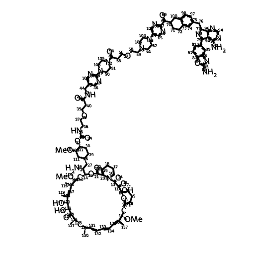 CO[C@H]1C[C@@H]2CC[C@@H](C)[C@@](O)(O2)C(=O)C(=O)N2CCCC[C@H]2C(=O)O[C@H]([C@H](N)C[C@@H]2CC[C@@H](OC(=O)NCCOCCC(=O)NCc3cnc(N4CCN(C(=O)CCOCCN5CCN(c6cnc(C(=O)C7CCc8cc(CC9N=C(c%10ccc%11oc(N)nc%11c%10)c%10c(N)ncnc%109)ccc8C7)nc6)CC5)CC4)nc3)[C@H](OC)C2)C[C@@H](OC)[C@H](C)/C=C(\C)[C@@H](O)[C@@H](O)C(=O)[C@H](C)C[C@H](C)/C=C/C=C/C=C/1C